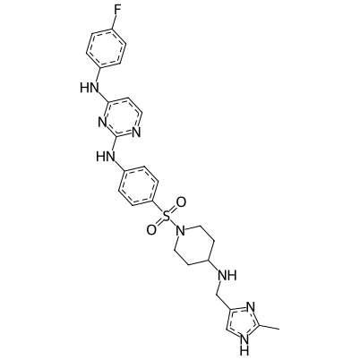 Cc1nc(CNC2CCN(S(=O)(=O)c3ccc(Nc4nccc(Nc5ccc(F)cc5)n4)cc3)CC2)c[nH]1